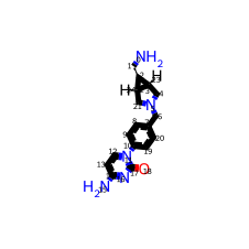 NC[C@@H]1[C@H]2CN(Cc3ccc(-n4ccc(N)nc4=O)cc3)C[C@@H]12